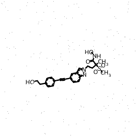 C[C@@](CCn1cc2cc(C#Cc3ccc(CCO)cc3)ccc2n1)(C(=O)NO)S(C)(=O)=O